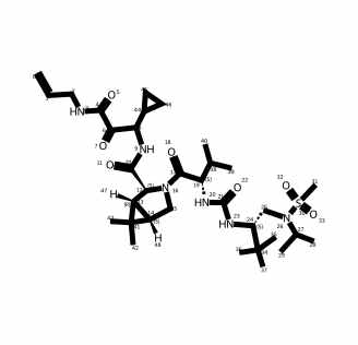 C=CCNC(=O)C(=O)C(NC(=O)[C@@H]1[C@@H]2[C@H](CN1C(=O)[C@@H](NC(=O)N[C@H](CN(C(C)C)S(C)(=O)=O)C(C)(C)C)C(C)C)C2(C)C)C1CC1